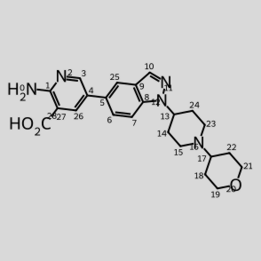 Nc1ncc(-c2ccc3c(cnn3C3CCN(C4CCOCC4)CC3)c2)cc1C(=O)O